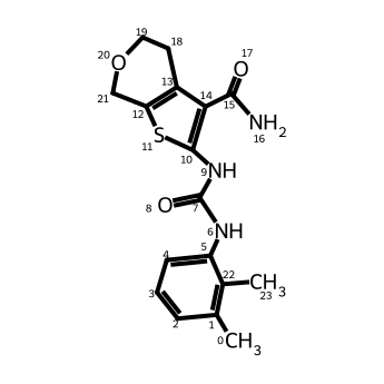 Cc1cccc(NC(=O)Nc2sc3c(c2C(N)=O)CCOC3)c1C